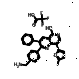 Cc1ccc(-c2cnc(O)c3cc(-c4ccccc4)c(-c4ccc(CN)cc4)nc23)o1.O=C(O)C(F)(F)F